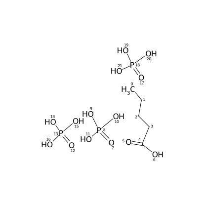 CCCCC(=O)O.O=P(O)(O)O.O=P(O)(O)O.O=P(O)(O)O